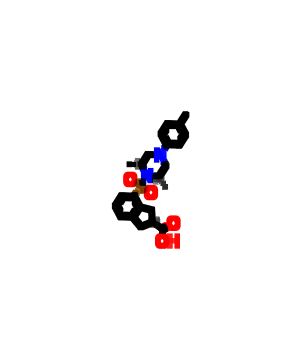 Cc1ccc(N2C[C@@H](C)N(S(=O)(=O)c3cccc4c3C[C@@H](C(=O)O)C4)[C@@H](C)C2)cc1